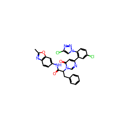 Cc1nc2ccc(NC(=O)C(Cc3ccccc3)n3cnc(-c4cc(Cl)ccc4-n4cc(Cl)nn4)cc3=O)cc2o1